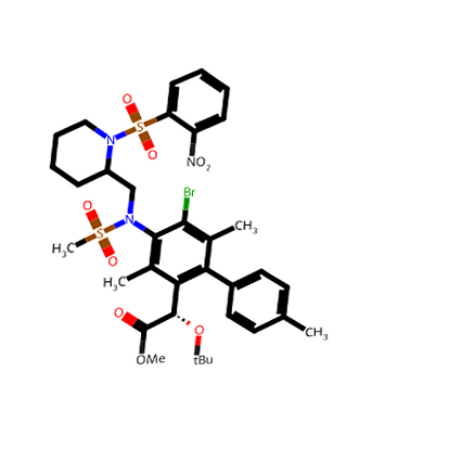 COC(=O)[C@@H](OC(C)(C)C)c1c(C)c(N(CC2CCCCN2S(=O)(=O)c2ccccc2[N+](=O)[O-])S(C)(=O)=O)c(Br)c(C)c1-c1ccc(C)cc1